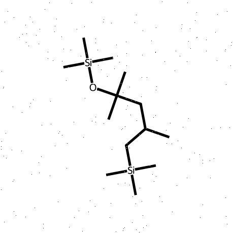 CC(CC(C)(C)O[Si](C)(C)C)C[Si](C)(C)C